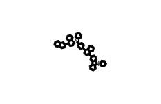 c1ccc(N(c2ccc(-c3ccc(-c4ccc5c(c4)c4ccccc4n5-c4ccccc4)c4ccccc34)cc2)c2ccc(-c3ccc4ccccc4c3)c3ccccc23)cc1